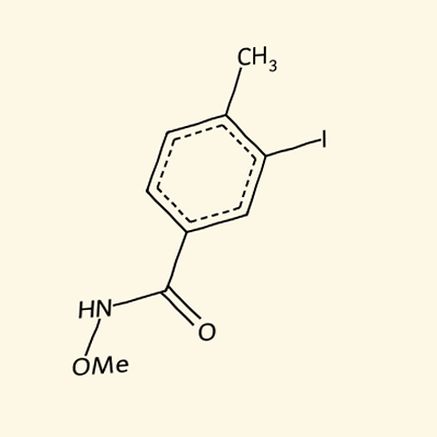 CONC(=O)c1ccc(C)c(I)c1